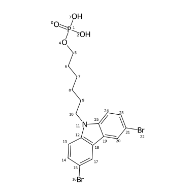 O=P(O)(O)OCCCCCCn1c2ccc(Br)cc2c2cc(Br)ccc21